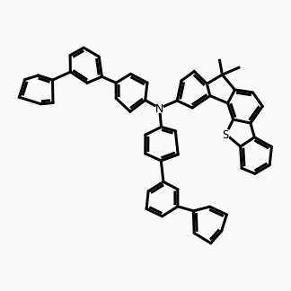 CC1(C)c2ccc(N(c3ccc(-c4cccc(-c5ccccc5)c4)cc3)c3ccc(-c4cccc(-c5ccccc5)c4)cc3)cc2-c2c1ccc1c2sc2ccccc21